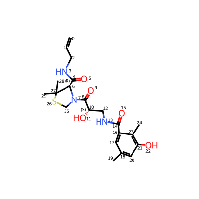 C=CCNC(=O)[C@H]1N(C(=O)[C@@H](O)CNC(=O)c2cc(C)cc(O)c2C)CSC1(C)C